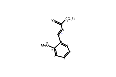 CCOC(=O)C(=O)/C=C/c1ccccc1OC